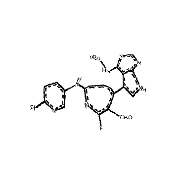 CCCCNc1ncnc2[nH]cc(-c3cc(Nc4ccc(CC)nc4)nc(F)c3C=O)c12